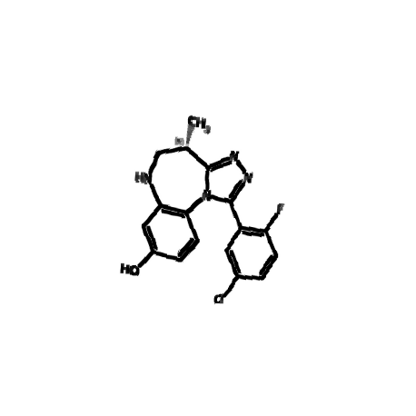 C[C@H]1CNc2cc(O)ccc2-n2c(-c3cc(Cl)ccc3F)nnc21